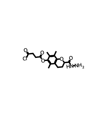 Cc1c(C)c2c(c(C)c1OC(=O)CCC(=O)Cl)CCC(C(=O)NN)O2